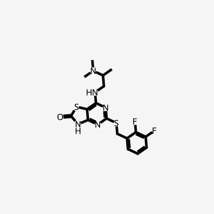 CC(CNc1nc(SCc2cccc(F)c2F)nc2[nH]c(=O)sc12)N(C)C